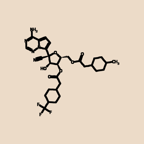 CC1CCC(CC(=O)OC[C@H]2O[C@@](C#N)(c3ccc4c(N)ncnn34)[C@H](O)[C@@H]2OC(=O)CC2CCC(C(F)(F)F)CC2)CC1